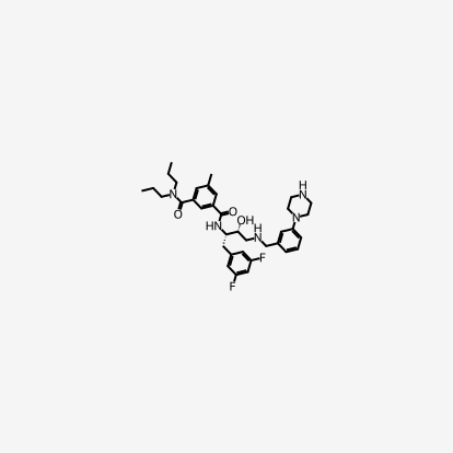 CCCN(CCC)C(=O)c1cc(C)cc(C(=O)N[C@@H](Cc2cc(F)cc(F)c2)[C@H](O)CNCc2cccc(N3CCNCC3)c2)c1